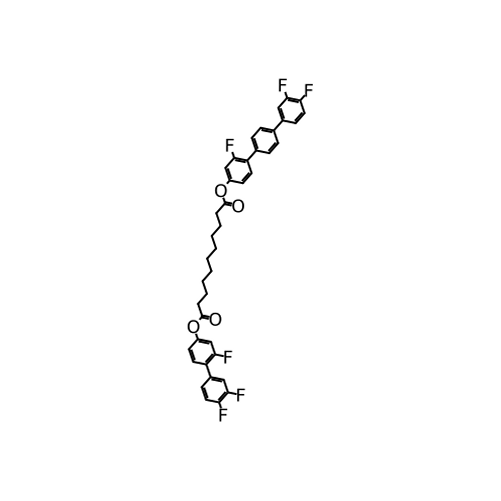 O=C(CCCCCCCCCC(=O)Oc1ccc(-c2ccc(F)c(F)c2)c(F)c1)Oc1ccc(-c2ccc(-c3ccc(F)c(F)c3)cc2)c(F)c1